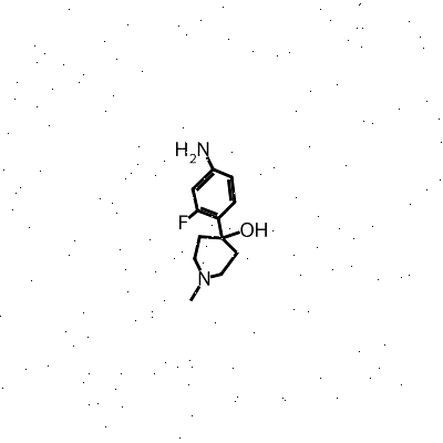 CN1CCC(O)(c2ccc(N)cc2F)CC1